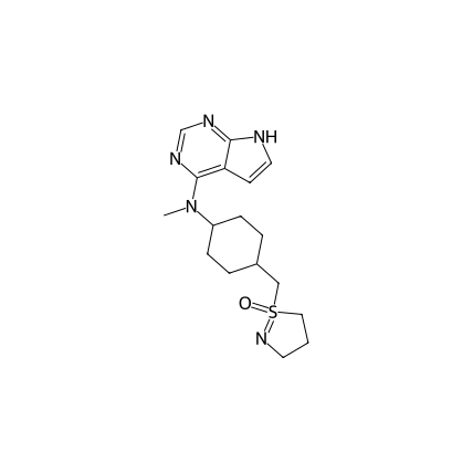 CN(c1ncnc2[nH]ccc12)C1CCC(CS2(=O)=NCCC2)CC1